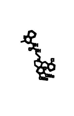 COc1cc2c(cc1OC)C(Cc1c(Cl)cccc1Cl)N(CCNC(=O)Nc1cc(C)nc3ccccc13)CC2